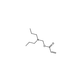 C=CC(=O)OCN(CCC)CCC